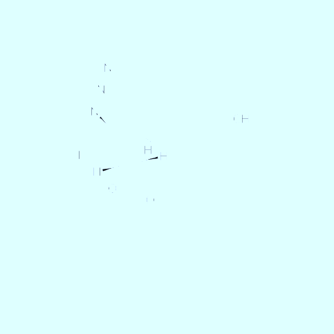 Cc1ccc([SH]2C[C@H](N=[N+]=[N-])[C@@H](F)[C@H]3OC(c4ccccc4)OC[C@H]32)cc1